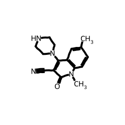 Cc1ccc2c(c1)c(N1CCNCC1)c(C#N)c(=O)n2C